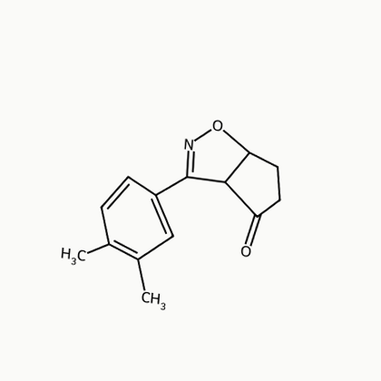 Cc1ccc(C2=NOC3CCC(=O)C23)cc1C